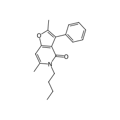 CCCCn1c(C)cc2oc(C)c(-c3ccccc3)c2c1=O